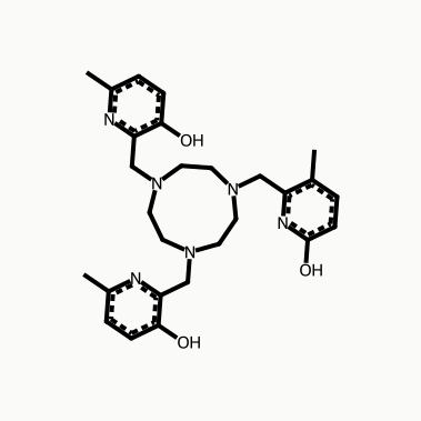 Cc1ccc(O)c(CN2CCN(Cc3nc(O)ccc3C)CCN(Cc3nc(C)ccc3O)CC2)n1